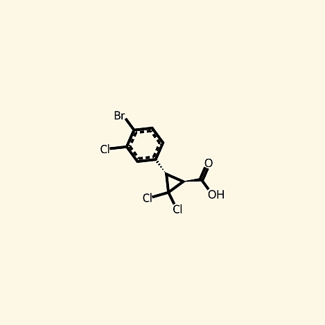 O=C(O)[C@@H]1[C@@H](c2ccc(Br)c(Cl)c2)C1(Cl)Cl